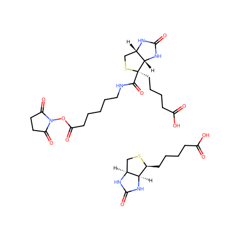 O=C(O)CCCC[C@@H]1SC[C@@H]2NC(=O)N[C@@H]21.O=C(O)CCCC[C@]1(C(=O)NCCCCCC(=O)ON2C(=O)CCC2=O)SC[C@@H]2NC(=O)N[C@@H]21